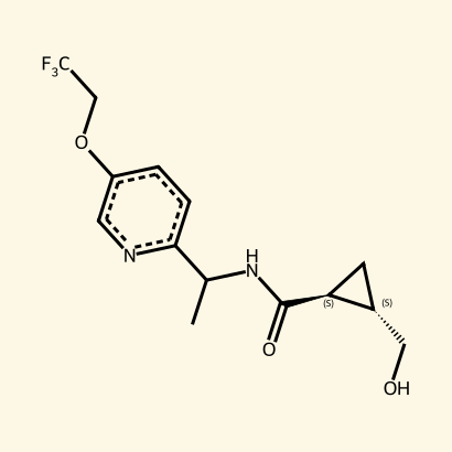 CC(NC(=O)[C@H]1C[C@@H]1CO)c1ccc(OCC(F)(F)F)cn1